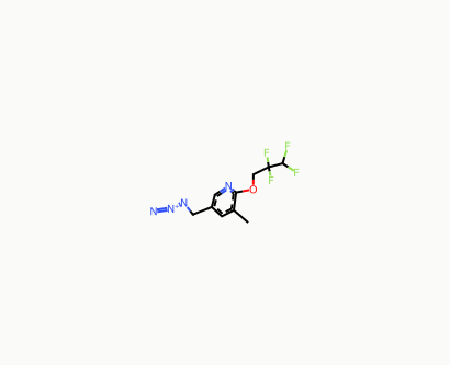 Cc1cc(CN=[N+]=[N-])cnc1OCC(F)(F)C(F)F